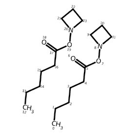 CCCCCC(=O)ON1CCC1.CCCCCC(=O)ON1CCC1